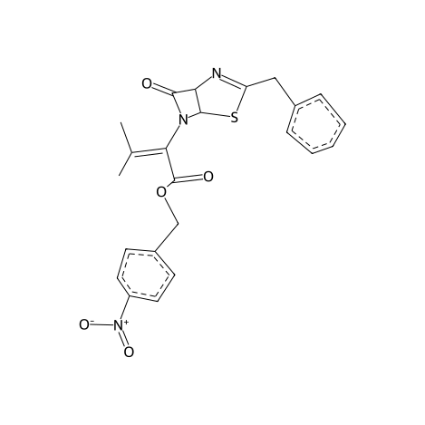 CC(C)=C(C(=O)OCc1ccc([N+](=O)[O-])cc1)N1C(=O)C2N=C(Cc3ccccc3)SC21